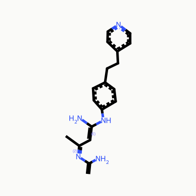 C=C(N)/N=C(C)\C=C(/N)Nc1ccc(CCc2ccncc2)cc1